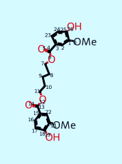 COc1cc(C(=O)OCCCCCOC(=O)c2ccc(O)c(OC)c2)ccc1O